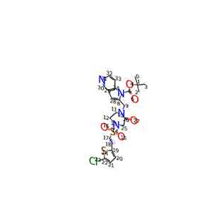 CC(C)(C)OC(=O)n1c(CN2CCN(S(=O)(=O)/C=C/c3ccc(Cl)s3)CC2=O)cc2cnccc21